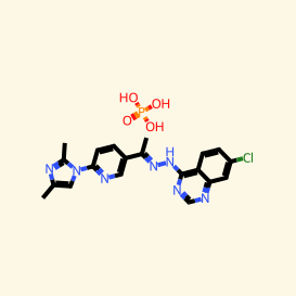 C/C(=N\Nc1ncnc2cc(Cl)ccc12)c1ccc(-n2cc(C)nc2C)nc1.O=P(O)(O)O